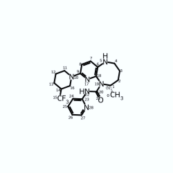 C[C@H]1CCCNc2ccc(N3CCCC(C(F)(F)F)C3)nc2N1C(=O)Nc1ccccn1